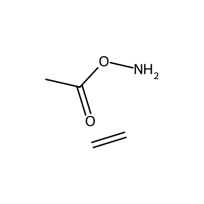 C=C.CC(=O)ON